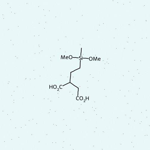 CO[Si](C)(CCC(CC(=O)O)C(=O)O)OC